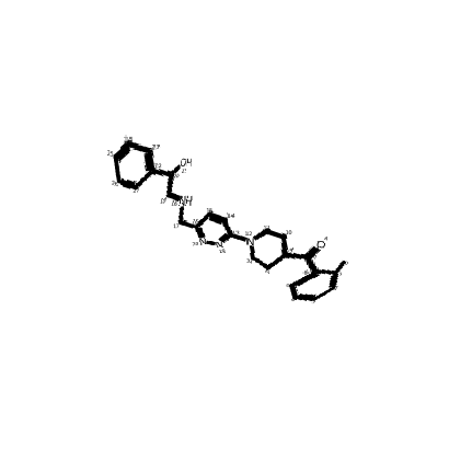 Cc1ccccc1C(=O)C1CCN(c2ccc(CNCC(O)c3ccccc3)nn2)CC1